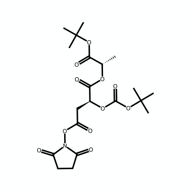 C[C@H](OC(=O)[C@H](CC(=O)ON1C(=O)CCC1=O)OC(=O)OC(C)(C)C)C(=O)OC(C)(C)C